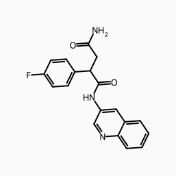 NC(=O)CC(C(=O)Nc1cnc2ccccc2c1)c1ccc(F)cc1